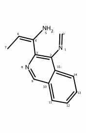 C=Nc1c(/C(N)=C\C)ncc2ccccc12